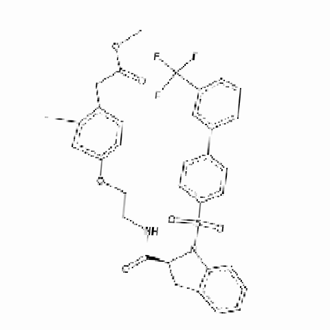 COC(=O)Cc1ccc(OCCNC(=O)[C@@H]2Cc3ccccc3N2S(=O)(=O)c2ccc(-c3cccc(C(F)(F)F)c3)cc2)cc1C